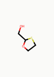 OCC1O[CH]CS1